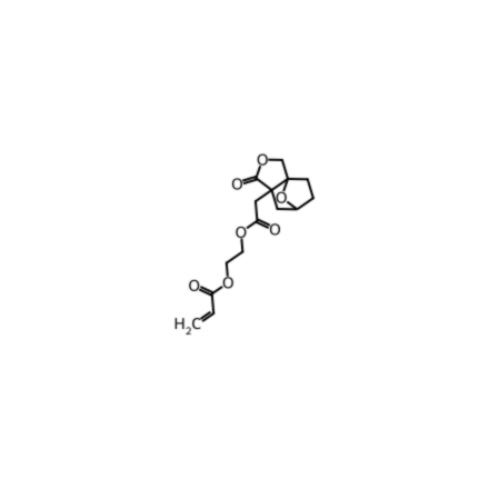 C=CC(=O)OCCOC(=O)CC12CC3CCC1(COC2=O)O3